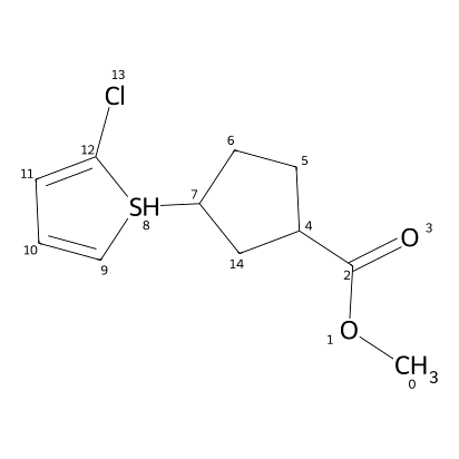 COC(=O)C1CCC([SH]2C=CC=C2Cl)C1